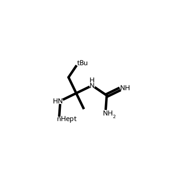 CCCCCCCNC(C)(CC(C)(C)C)NC(=N)N